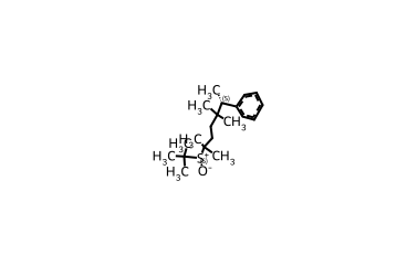 C[C@H](c1ccccc1)C(C)(C)CCC(C)(C)[S@+]([O-])C(C)(C)C